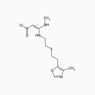 CN/C(=C/[N+](=O)[O-])NCCSCCc1ocnc1C